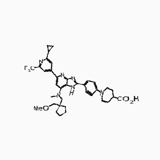 COCC1(CN(C)c2cc(-c3cc(C4CC4)nc(C(F)(F)F)c3)nc3nc(-c4ccc(N5CCC(C(=O)O)CC5)cc4)[nH]c23)CCCC1